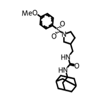 COc1ccc(S(=O)(=O)N2CCC(CNC(=O)NC34CC5CC(CC(C5)C3)C4)C2)cc1